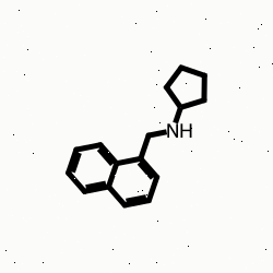 c1ccc2c(CNC3CCCC3)cccc2c1